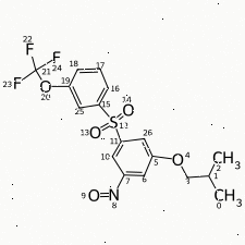 CC(C)COc1cc(N=O)cc(S(=O)(=O)c2cccc(OC(F)(F)F)c2)c1